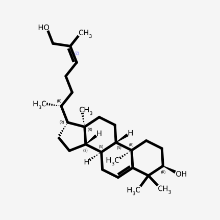 C/C(=C/CC[C@@H](C)[C@H]1CC[C@H]2[C@@H]3CC=C4C(C)(C)[C@H](O)CC[C@]4(C)[C@H]3CC[C@]12C)CO